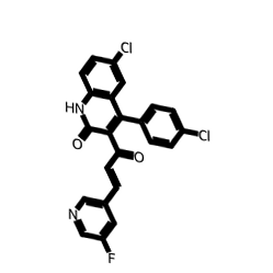 O=C(/C=C/c1cncc(F)c1)c1c(-c2ccc(Cl)cc2)c2cc(Cl)ccc2[nH]c1=O